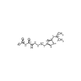 CN(C)Cc1nc(CSCCNC(=O)C[N+](=O)[O-])cs1